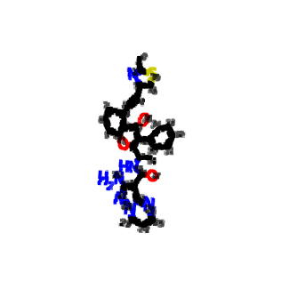 Cc1nc(C#Cc2cccc3oc(C(C)NC(=O)c4c(N)nn5cccnc45)c(-c4ccccc4)c(=O)c23)cs1